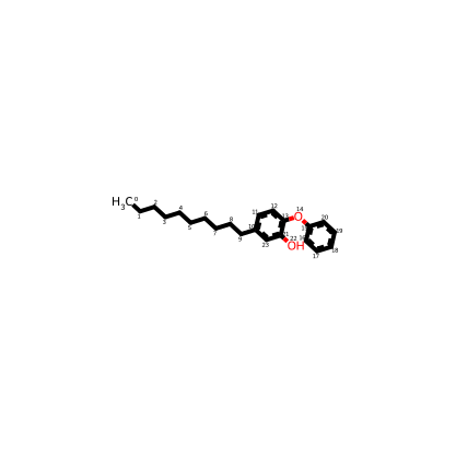 CCCCCCCCCCc1ccc(Oc2ccccc2)c(O)c1